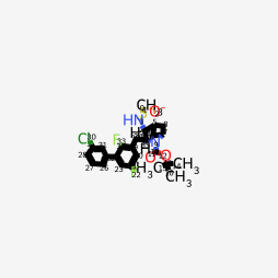 C[S+]([O-])N[C@H]1C2CC(C2)N(C(=O)OC(C)(C)C)[C@H]1Cc1cc(F)cc(-c2cccc(Cl)c2)c1F